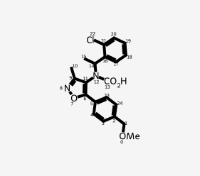 COCc1ccc(-c2onc(C)c2N(C(=O)O)C(C)c2ccccc2Cl)cc1